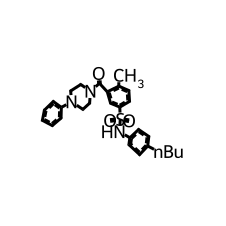 CCCCc1ccc(NS(=O)(=O)c2ccc(C)c(C(=O)N3CCN(c4ccccc4)CC3)c2)cc1